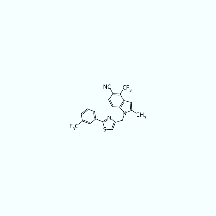 Cc1cc2c(C(F)(F)F)c(C#N)ccc2n1Cc1csc(-c2cccc(C(F)(F)F)c2)n1